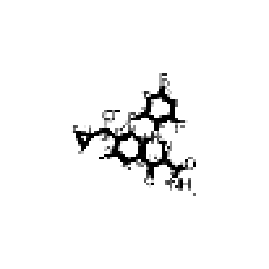 NC(=O)c1nn(-c2c(F)cc(F)cc2F)c2cc([C@H](C3CC3)C(F)(F)F)c(F)cc2c1=O